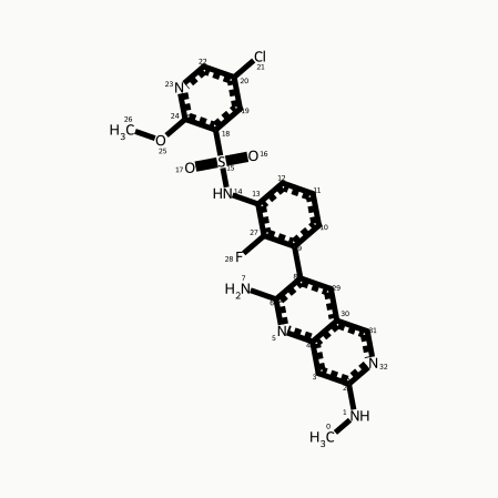 CNc1cc2nc(N)c(-c3cccc(NS(=O)(=O)c4cc(Cl)cnc4OC)c3F)cc2cn1